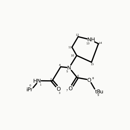 CC(C)NC(=O)CN(C(=O)OC(C)(C)C)C1CCNCC1